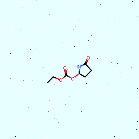 CCOC(=O)O[C@@H]1CCC(=O)N1